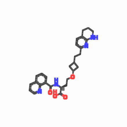 O=C(N[C@@H](CCOC1CC(CCc2ccc3c(n2)NCCC3)C1)C(=O)O)c1cccc2cccnc12